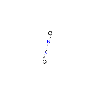 C(/C=C/c1ccccc1)=NCCCCCCN=C/C=C/c1ccccc1